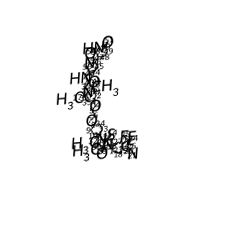 C[C@@H]1CC(OCCO[C@H]2CC[C@H](N3C(=S)N(c4ccc(C#N)c(C(F)(F)F)c4)C(=O)C3(C)C)CC2)C[C@H](C)N1CC(=O)Nc1ccc(C2CCC(=O)NC2=O)nc1